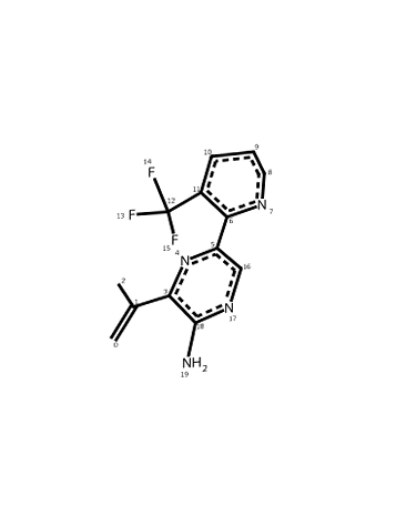 C=C(C)c1nc(-c2ncccc2C(F)(F)F)cnc1N